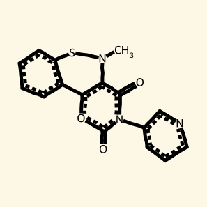 CN1Sc2ccccc2-c2oc(=O)n(-c3cccnc3)c(=O)c21